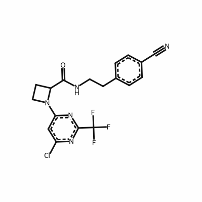 N#Cc1ccc(CCNC(=O)C2CCN2c2cc(Cl)nc(C(F)(F)F)n2)cc1